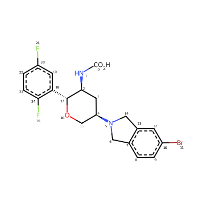 O=C(O)N[C@H]1C[C@@H](N2Cc3ccc(Br)cc3C2)CO[C@@H]1c1cc(F)ccc1F